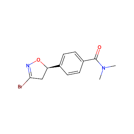 CN(C)C(=O)c1ccc([C@H]2CC(Br)=NO2)cc1